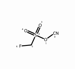 N#COS(=O)(=O)CF